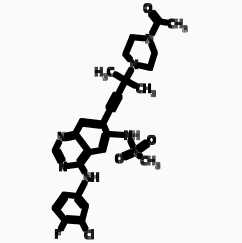 CC(=O)N1CCN(C(C)(C)C#Cc2cc3ncnc(Nc4ccc(F)c(Cl)c4)c3cc2NS(C)(=O)=O)CC1